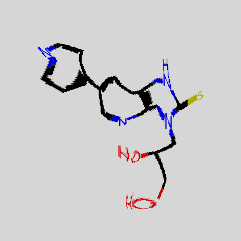 OCC(O)Cn1c(=S)[nH]c2cc(-c3ccncc3)cnc21